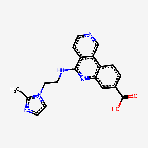 Cc1nccn1CCNc1nc2cc(C(=O)O)ccc2c2cnccc12